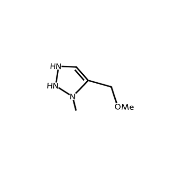 COCC1=CNNN1C